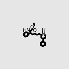 CCOC(=O)c1[nH]c2ccccc2c1CCCCC1CC(c2ccccc2)=CCN1